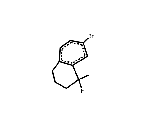 CC1(F)CCCc2ccc(Br)cc21